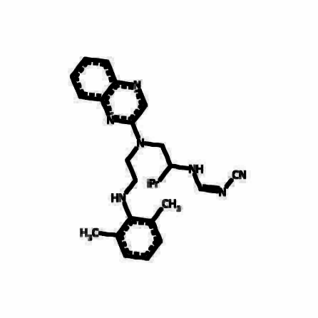 Cc1cccc(C)c1NCCN(CC(N/C=N\C#N)C(C)C)c1cnc2ccccc2n1